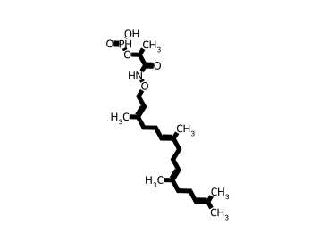 CC(C)=CCCC(C)=CCCC(C)=CCCC(C)=CCONC(=O)C(C)O[PH](=O)O